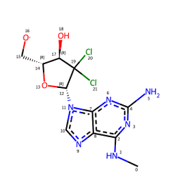 CNc1nc(N)nc2c1ncn2[C@@H]1O[C@H](C[O])[C@@H](O)C1(Cl)Cl